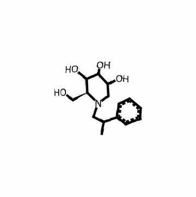 CC(CN1CC(O)C(O)C(O)[C@@H]1CO)c1ccccc1